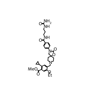 CCOc1cc(C(=O)OC)c(C2CC2)cc1CN1CCC2(CC1)CN(c1ccc(C(=O)NCCCNC(N)=O)cc1)C(=O)O2